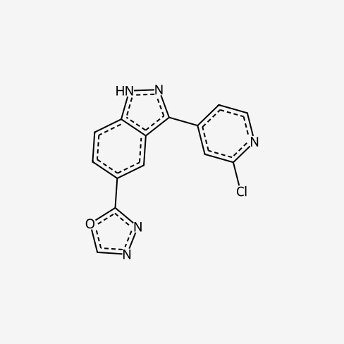 Clc1cc(-c2n[nH]c3ccc(-c4nnco4)cc23)ccn1